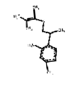 CC(C)=C(C)SCC(C)c1ccc(C)cc1C